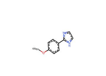 CCCCCCOc1ccc(-c2ncc[nH]2)cc1